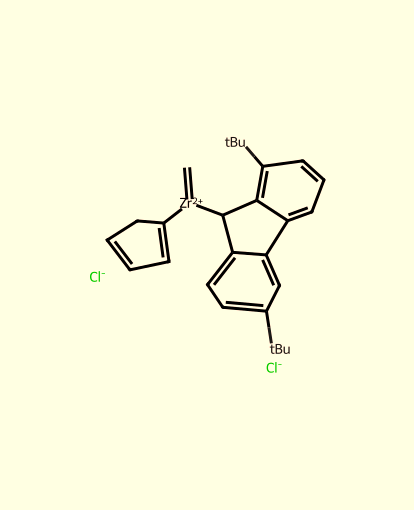 [CH2]=[Zr+2]([C]1=CC=CC1)[CH]1c2ccc(C(C)(C)C)cc2-c2cccc(C(C)(C)C)c21.[Cl-].[Cl-]